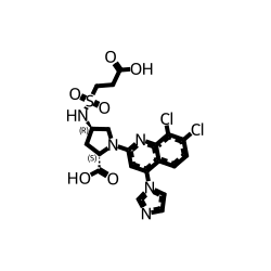 O=C(O)CCS(=O)(=O)N[C@@H]1C[C@@H](C(=O)O)N(c2cc(-n3ccnc3)c3ccc(Cl)c(Cl)c3n2)C1